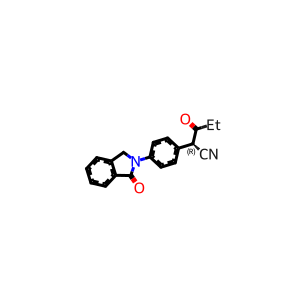 CCC(=O)[C@@H](C#N)c1ccc(N2Cc3ccccc3C2=O)cc1